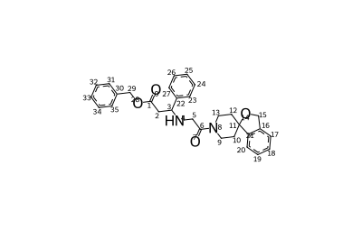 O=C(CC(NCC(=O)N1CCC2(CC1)OCc1ccccc12)c1ccccc1)OCc1ccccc1